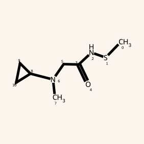 CSNC(=O)CN(C)C1CC1